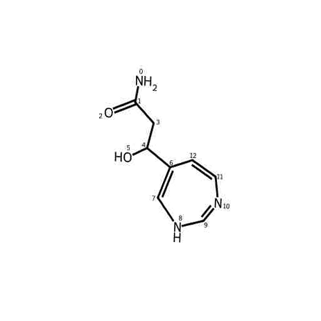 NC(=O)CC(O)C1=CNC=NC=C1